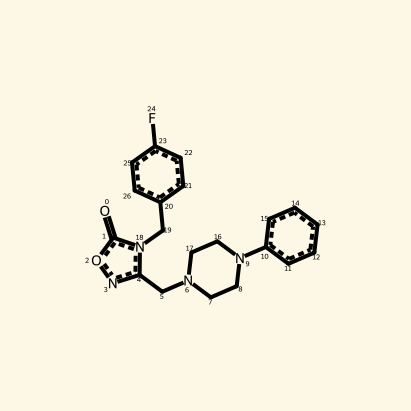 O=c1onc(CN2CCN(c3ccccc3)CC2)n1Cc1ccc(F)cc1